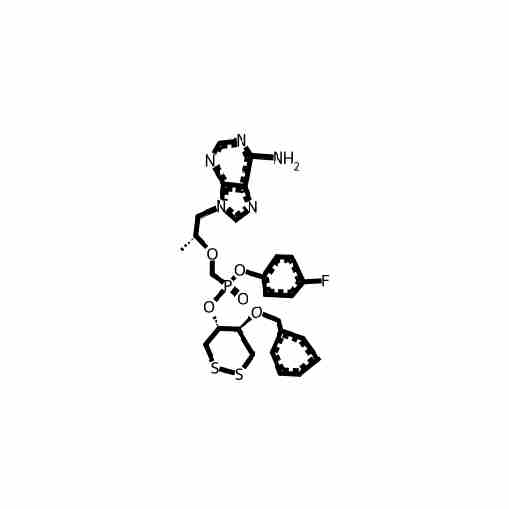 C[C@H](Cn1cnc2c(N)ncnc21)OCP(=O)(Oc1ccc(F)cc1)O[C@H]1CSSC[C@@H]1OCc1ccccc1